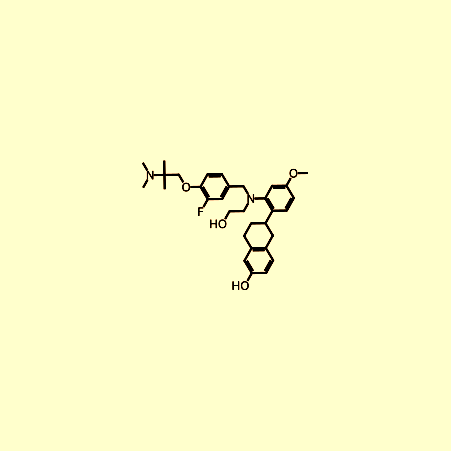 COc1ccc(C2CCc3cc(O)ccc3C2)c(N(CCO)Cc2ccc(OCC(C)(C)N(C)C)c(F)c2)c1